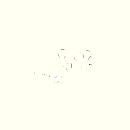 Cc1cc(I)cc(C(=O)NC(C)C)c1NC(=O)c1cc(Cn2nnc(C(F)(F)C(F)(F)C(F)(F)F)n2)nn1-c1ncccc1Cl